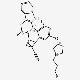 C[C@H]1Cc2c([nH]c3ccccc23)[C@@]2(C)c3c(F)cc(O[C@@H]4CCN(CCCF)C4)cc3C3C4(C#N)CC3(C4)N12